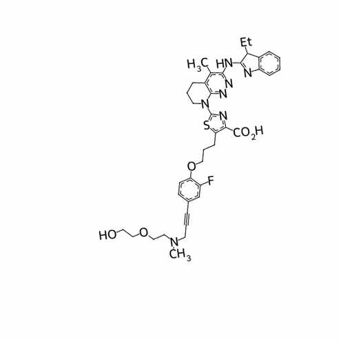 CCC1C(Nc2nnc3c(c2C)CCCN3c2nc(C(=O)O)c(CCCOc3ccc(C#CCN(C)CCOCCO)cc3F)s2)=Nc2ccccc21